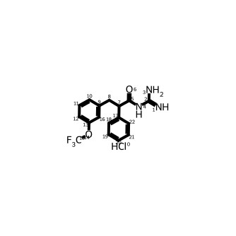 Cl.N=C(N)NC(=O)C(Cc1cccc(OC(F)(F)F)c1)c1ccccc1